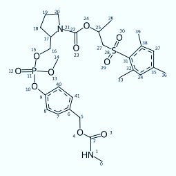 CNC(=O)OCc1ccc(OP(=O)(OC)OCC2CCCN2C(=O)OC(C)CS(=O)(=O)c2c(C)cc(C)cc2C)cc1